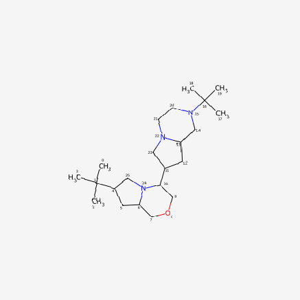 CC(C)(C)C1CC2COCC(C3CC4CN(C(C)(C)C)CCN4C3)N2C1